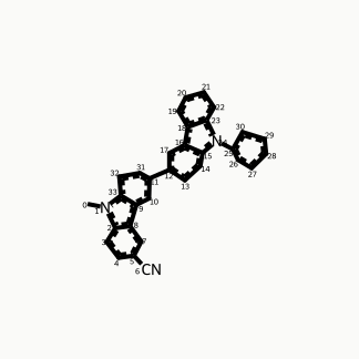 Cn1c2ccc(C#N)cc2c2cc(-c3ccc4c(c3)c3ccccc3n4-c3ccccc3)ccc21